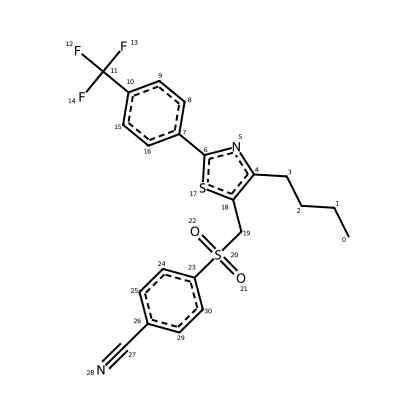 CCCCc1nc(-c2ccc(C(F)(F)F)cc2)sc1CS(=O)(=O)c1ccc(C#N)cc1